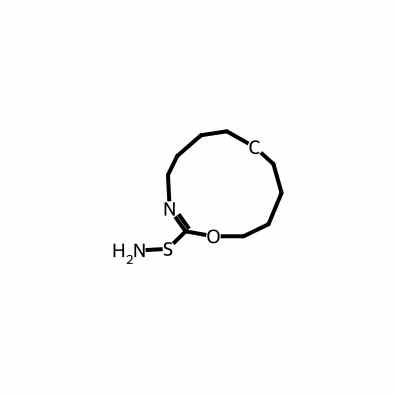 NS/C1=N/CCCCCCCCCO1